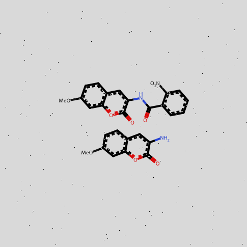 COc1ccc2cc(N)c(=O)oc2c1.COc1ccc2cc(NC(=O)c3ccccc3[N+](=O)[O-])c(=O)oc2c1